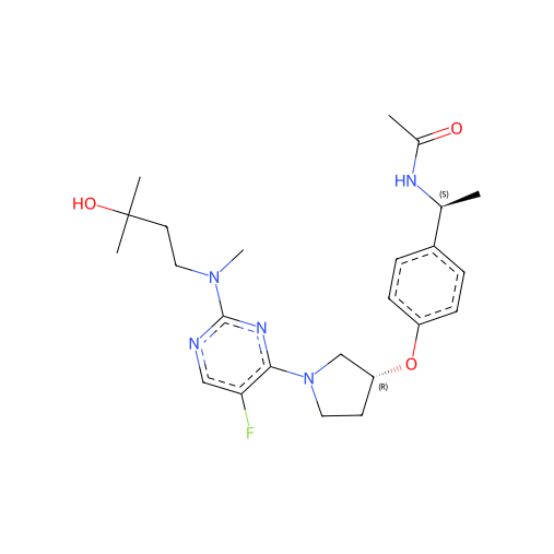 CC(=O)N[C@@H](C)c1ccc(O[C@@H]2CCN(c3nc(N(C)CCC(C)(C)O)ncc3F)C2)cc1